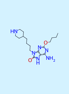 CCCCOc1nc(N)c2[nH]c(=O)n(CCCCC3CCNCC3)c2n1